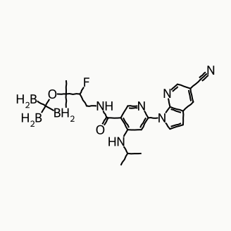 BC(B)(B)OC(C)(C)C(F)CNC(=O)c1cnc(-n2ccc3cc(C#N)cnc32)cc1NC(C)C